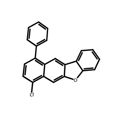 Clc1ccc(-c2ccccc2)c2cc3c(cc12)oc1ccccc13